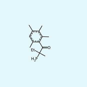 CCC(C)(P)C(=O)c1c(C)cc(C)c(C)c1C